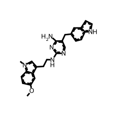 COc1ccc2c(c1)c(CCNc1ncc(Cc3ccc4[nH]ccc4c3)c(N)n1)cn2C